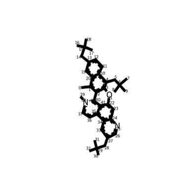 Cc1c2c(c(CC(C)(C)C)c3ccc(CC(C)(C)C)cc13)Oc1cc3ncc(CC(C)(C)C)cc3c3cc[n+](C)c-2c13